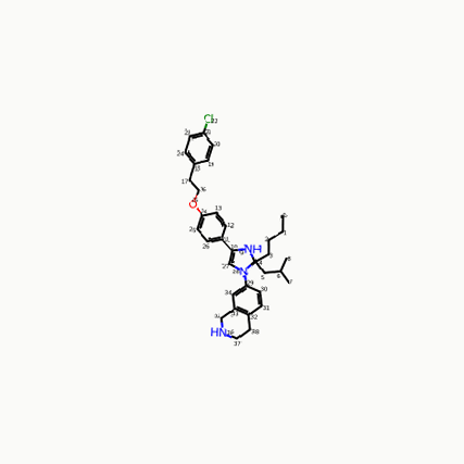 CCCCC1(CC(C)C)NC(c2ccc(OCCc3ccc(Cl)cc3)cc2)=CN1c1ccc2c(c1)CNCC2